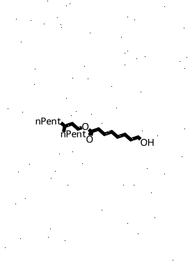 CCCCCC(CCCCC)CCOC(=O)CCCCCCCO